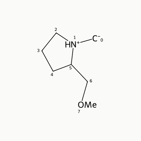 [CH2-][NH+]1CCCC1COC